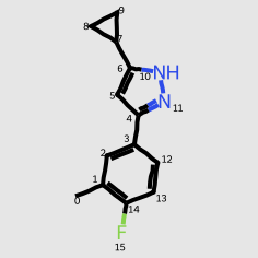 Cc1cc(-c2cc(C3CC3)[nH]n2)ccc1F